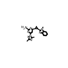 Cc1nc(C)n(-c2cc(C3CC3c3nc4ccccc4n3C)nc(N)n2)n1